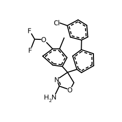 Cc1cc(C2(c3cccc(-c4cccc(Cl)c4)c3)COC(N)=N2)ccc1OC(F)F